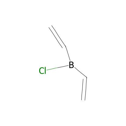 C=CB(Cl)C=C